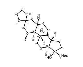 CCCCCC[C@]1(O)CC[C@H]2[C@@H]3CC[C@H]4CC5(C[C@H](C)[C@]4(C)[C@H]3CC[C@@]21C)OCCO5